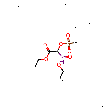 CCOC(=O)C(OS(C)(=O)=O)[PH](=O)OCC